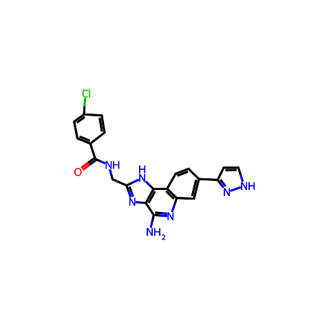 Nc1nc2cc(-c3cc[nH]n3)ccc2c2[nH]c(CNC(=O)c3ccc(Cl)cc3)nc12